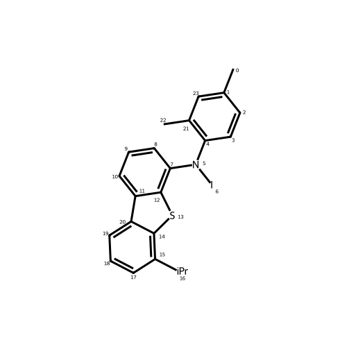 Cc1ccc(N(I)c2cccc3c2sc2c(C(C)C)cccc23)c(C)c1